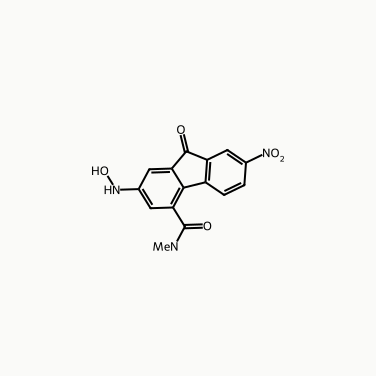 CNC(=O)c1cc(NO)cc2c1-c1ccc([N+](=O)[O-])cc1C2=O